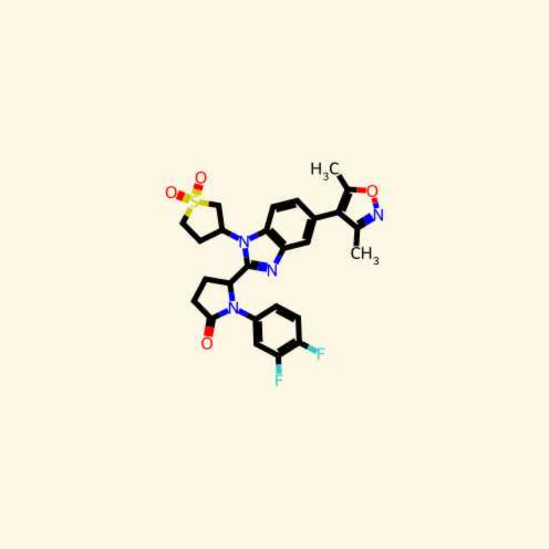 Cc1noc(C)c1-c1ccc2c(c1)nc(C1CCC(=O)N1c1ccc(F)c(F)c1)n2C1CCS(=O)(=O)C1